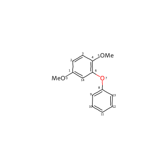 COc1ccc(OC)c(Oc2ccccc2)c1